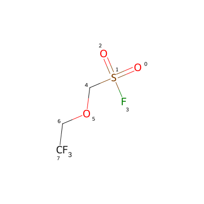 O=S(=O)(F)COCC(F)(F)F